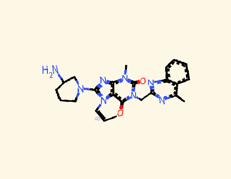 C/C=C\n1c(N2CCCC(N)C2)nc2c1c(=O)n(Cc1nc(C)c3ccccc3n1)c(=O)n2C